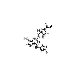 C=CC(=O)N1C[C@@H]2CN(c3nc(Nc4cnn(C)c4)c4ncn(C(C)C)c4n3)C[C@]2(F)C1